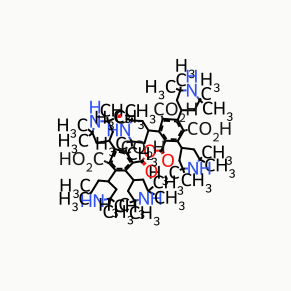 CC1(C)CC(c2c(C(=O)O)c(C3CC(C)(C)NC(C)(C)C3)c(C(=O)OC(=O)c3c(C(=O)O)c(C4CC(C)(C)NC(C)(C)C4)c(C(=O)O)c(C4CC(C)(C)NC(C)(C)C4)c3C3CC(C)(C)NC(C)(C)C3)c(C3CC(C)(C)NC(C)(C)C3)c2C(=O)O)CC(C)(C)N1